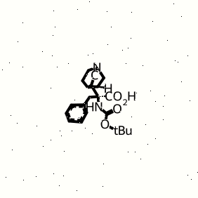 CC(C)(C)OC(=O)N[C@](Cc1ccccc1)(C(=O)O)[C@H]1CN2CCC1CC2